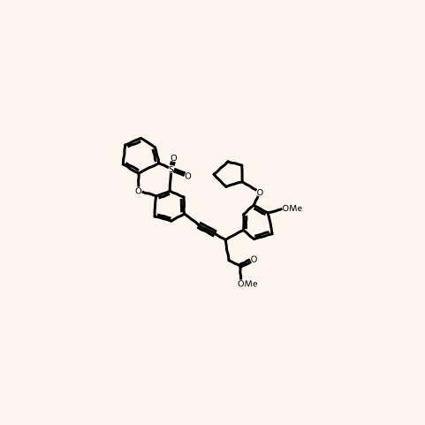 COC(=O)CC(C#Cc1ccc2c(c1)S(=O)(=O)c1ccccc1O2)c1ccc(OC)c(OC2CCCC2)c1